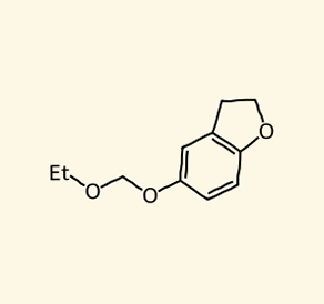 CCOCOc1ccc2c(c1)CCO2